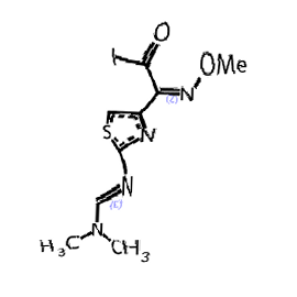 CO/N=C(\C(=O)I)c1csc(/N=C/N(C)C)n1